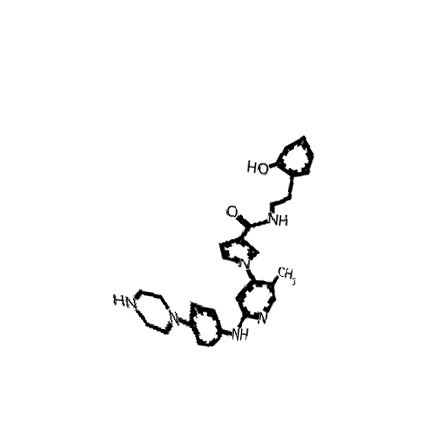 Cc1cnc(Nc2ccc(N3CCNCC3)cc2)cc1-n1ccc(C(=O)NCCc2ccccc2O)c1